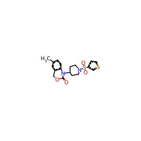 Cc1ccc2c(c1)COC(=O)N2C1CCN(S(=O)(=O)c2ccsc2)CC1